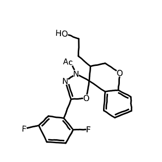 CC(=O)N1N=C(c2cc(F)ccc2F)OC12c1ccccc1OCC2CCO